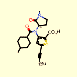 CC1CCC(C(=O)N(c2cc(C#CC(C)(C)C)sc2C(=O)O)[C@@H]2CCN(C)C2=O)CC1